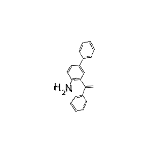 C=C(c1ccccc1)c1cc(-c2ccccc2)ccc1N